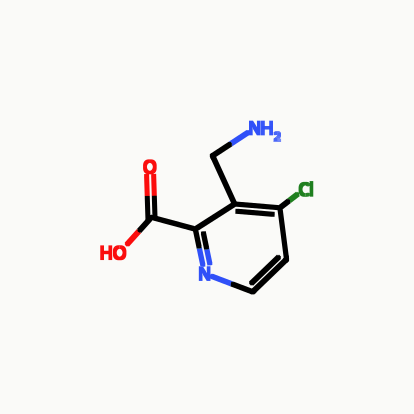 NCc1c(Cl)ccnc1C(=O)O